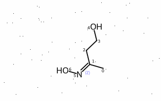 C/C(CCO)=N/O